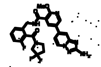 COc1ncc(-c2ccn3nc(N)nc3c2)cc1C(=O)NCc1cccc(F)c1C(=O)N1CCC(F)(F)C1